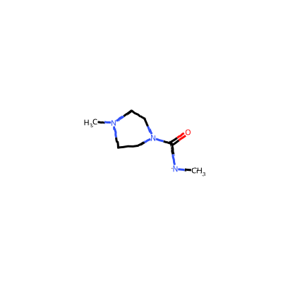 C[N]C(=O)N1CCN(C)CC1